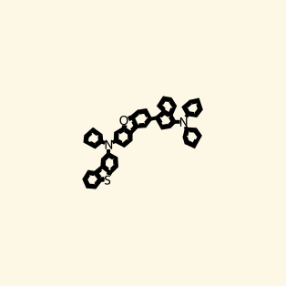 c1ccc(N(c2ccc3c(c2)oc2ccc(-c4ccc(N(c5ccccc5)c5ccccc5)c5ccccc45)cc23)c2ccc3sc4ccccc4c3c2)cc1